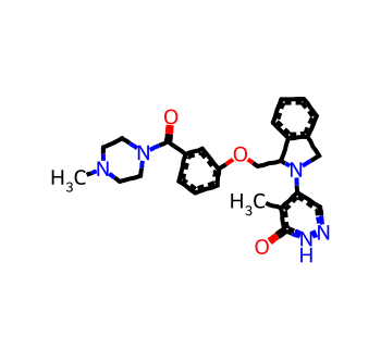 Cc1c(N2Cc3ccccc3C2COc2cccc(C(=O)N3CCN(C)CC3)c2)cn[nH]c1=O